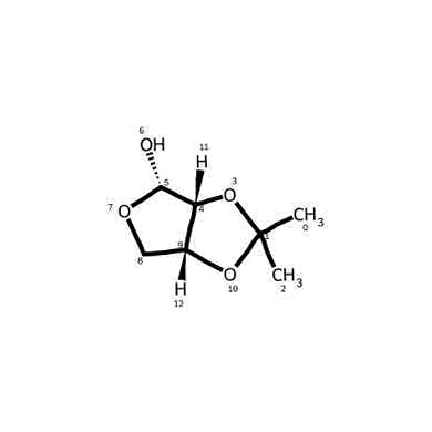 CC1(C)O[C@H]2[C@@H](O)OC[C@H]2O1